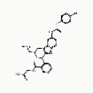 CNCC1Cc2c([nH]c3ccc(NC(=O)Oc4ccc(Br)cc4)cc23)C(c2ccccc2C(=O)NCC(=O)O)C1